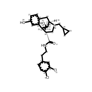 O=C(NCCc1ccc(Cl)c(Cl)c1)[C@@H]1C[C@]23CCN(CC4CC4)[C@H](Cc4ccc(O)cc42)[C@]3(O)C1